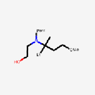 CCCC(C)N(CCO)C(C)(CC)CCOC